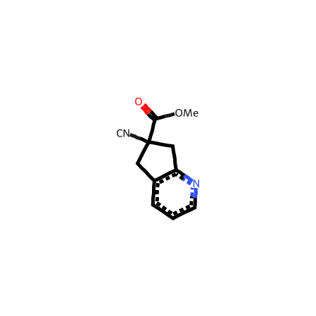 [C-]#[N+]C1(C(=O)OC)Cc2cccnc2C1